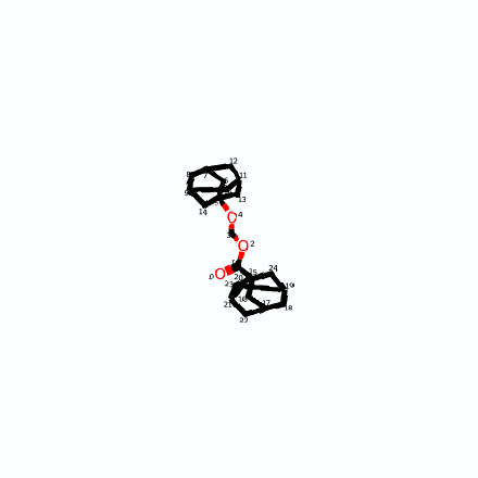 O=C(OCOC12CC3CC(CC(C3)C1)C2)C12CC3CC(CC(C3)C1)C2